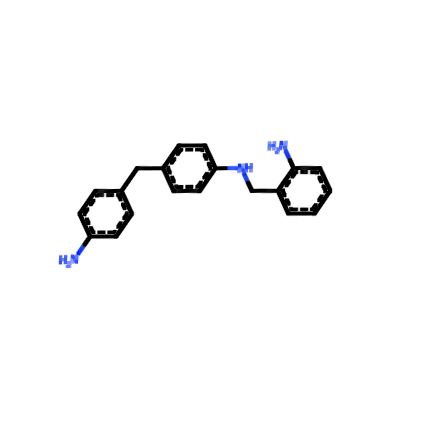 Nc1ccc(Cc2ccc(NCc3ccccc3N)cc2)cc1